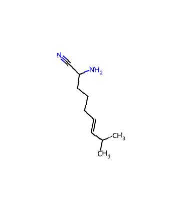 CC(C)C=CCCCC(N)C#N